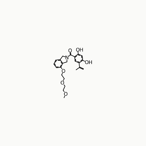 C=C(C)c1cc(C(=O)N2Cc3cccc(OCCOCCOC)c3C2)c(O)cc1O